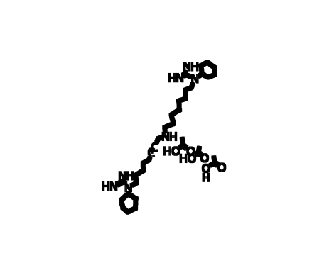 CC(=O)O.CC(=O)O.CC(=O)O.N=C(N)N(CCCCCCCCNCCCCCCCCN(C(=N)N)C1CCCCC1)C1CCCCC1